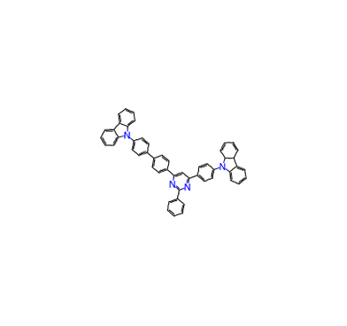 C1=CC2c3ccccc3N(c3ccc(-c4cc(-c5ccc(-c6ccc(-n7c8ccccc8c8ccccc87)cc6)cc5)nc(-c5ccccc5)n4)cc3)C2C=C1